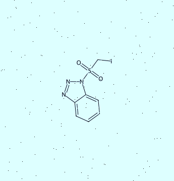 O=S(=O)(CI)n1nnc2ccccc21